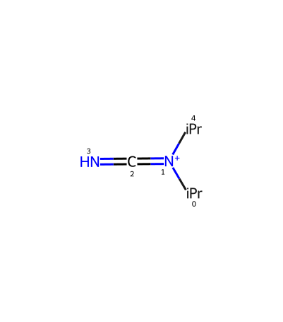 CC(C)[N+](=C=N)C(C)C